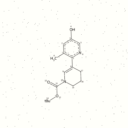 Cc1cc(O)cnc1C1=CN(C(=O)OC(C)(C)C)CCC1